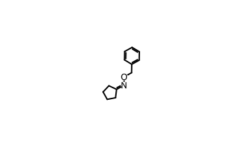 c1ccc(CON=C2CCCC2)cc1